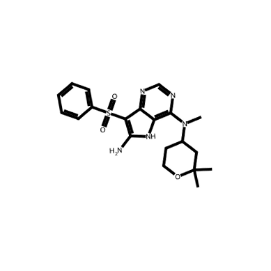 CN(c1ncnc2c(S(=O)(=O)c3ccccc3)c(N)[nH]c12)C1CCOC(C)(C)C1